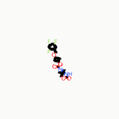 O=C1NC2(CO1)CN(C(=O)O[C@H]1C[C@@H](OCc3cc(F)c(F)cc3F)C1)C2